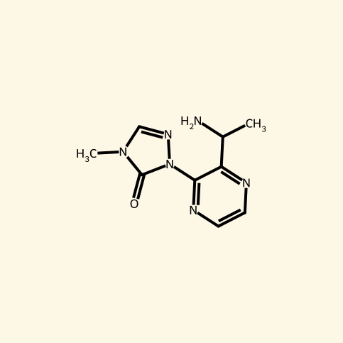 CC(N)c1nccnc1-n1ncn(C)c1=O